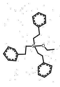 CCO[Si](CCc1ccccc1)(CCc1ccccc1)CCc1ccccc1